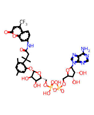 Cc1cc(C)c(C(C)(C)CC(=O)Nc2ccc3c(C(F)(F)F)cc(=O)oc3c2)c(OC2O[C@H](COP(=O)(O)OP(=O)(O)OCC3OC(n4cnc5c(N)ncnc54)[C@H](O)[C@@H]3O)C(O)C2O)c1